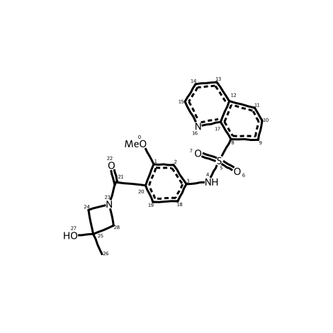 COc1cc(NS(=O)(=O)c2cccc3cccnc23)ccc1C(=O)N1CC(C)(O)C1